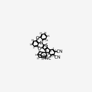 N#Cc1cc2c(c(C#N)c1C#N)C1(c3c-2sc2c3Oc3cccc4c3N2c2ccccc2O4)C2CC3CC(C2)CC1C3